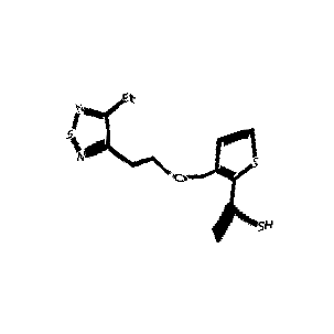 C=C(S)c1sccc1OCCc1nsnc1CC